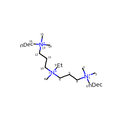 CCCCCCCCCC[N+](C)(C)CCC[N+](C)(CC)CCC[N+](C)(C)CCCCCCCCCC